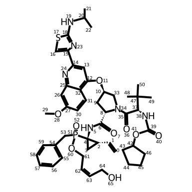 C=C[C@@H]1C[C@]1(NC(=O)[C@@H]1C[C@@H](Oc2cc(-c3csc(NC(C)C)n3)nc3cc(OC)ccc23)CN1C(=O)[C@@H](NC(=O)OC1CCCC1)C(C)(C)C)P(=O)(Cc1ccccc1)OC/C=C\CO